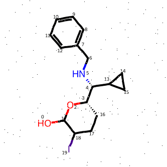 OC1O[C@H]([C@H](NCc2ccccc2)C2CC2)CCC1I